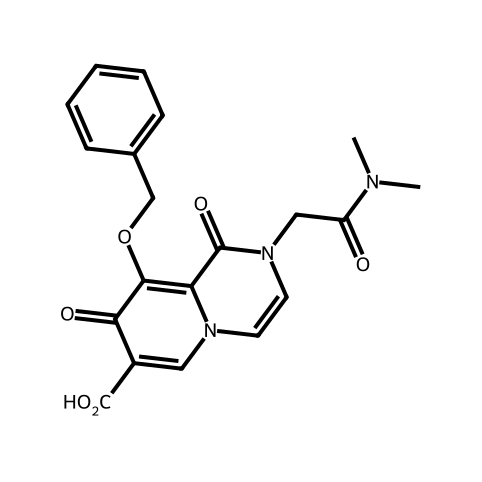 CN(C)C(=O)Cn1ccn2cc(C(=O)O)c(=O)c(OCc3ccccc3)c2c1=O